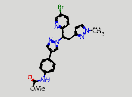 COC(=O)Nc1ccc(-c2cnn(C(Cc3ccn(C)n3)c3ccc(Br)cn3)c2)cc1